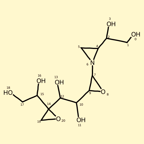 OCC(O)C1CN1C1OC1C(O)C(O)C1(C(O)CO)CO1